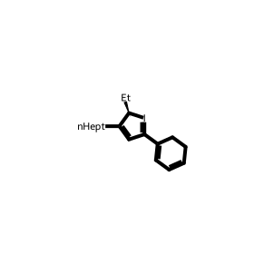 CCCCCCCC1=CC(C2=CC=CCC2)=I[C@@H]1CC